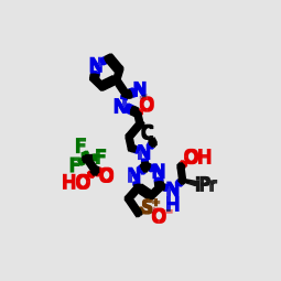 CC(C)[C@H](CO)Nc1nc(N2CCC(c3nc(-c4ccncc4)no3)CC2)nc2c1[S+]([O-])CC2.O=C(O)C(F)(F)F